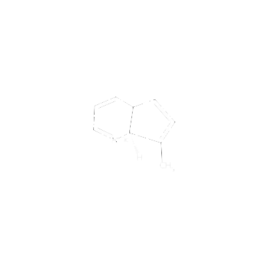 CC1=C=CC2C=CC=N[C@H]12